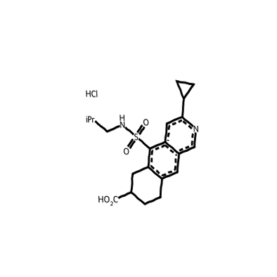 CC(C)CNS(=O)(=O)c1c2c(cc3cnc(C4CC4)cc13)CCC(C(=O)O)C2.Cl